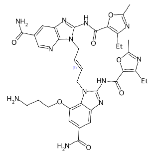 CCc1nc(C)oc1C(=O)Nc1nc2cc(C(N)=O)cnc2n1C/C=C/Cn1c(NC(=O)c2oc(C)nc2CC)nc2cc(C(N)=O)cc(OCCCN)c21